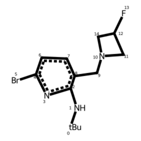 CC(C)(C)Nc1nc(Br)ccc1CN1CC(F)C1